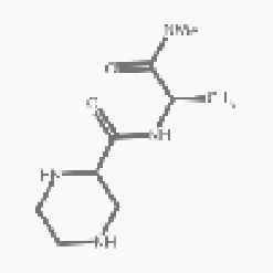 CNC(=O)[C@@H](C)NC(=O)C1CNCCN1